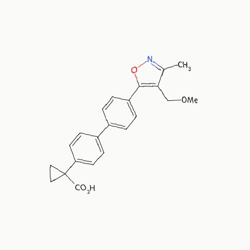 COCc1c(C)noc1-c1ccc(-c2ccc(C3(C(=O)O)CC3)cc2)cc1